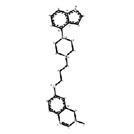 CN1C=Nc2ccc(OCCCN3CCN(c4cccc5sccc45)CC3)cc2C1